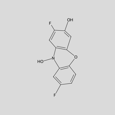 Oc1cc2c(cc1F)N(O)c1cc(F)ccc1O2